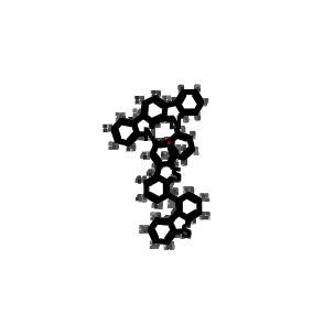 c1ccc(-n2c3ccccc3c3ccc4c5ccccc5n(-c5ccc6sc7c(-c8cccc9sc%10ccccc%10c89)cccc7c6c5)c4c32)cc1